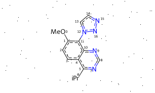 COc1ccc2c(C(C)C)ncnc2c1-n1ccnn1